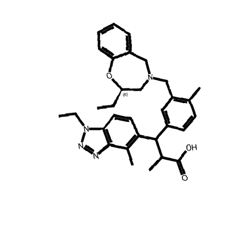 CC[C@@H]1CN(Cc2cc(C(c3ccc4c(nnn4CC)c3C)C(C)C(=O)O)ccc2C)Cc2ccccc2O1